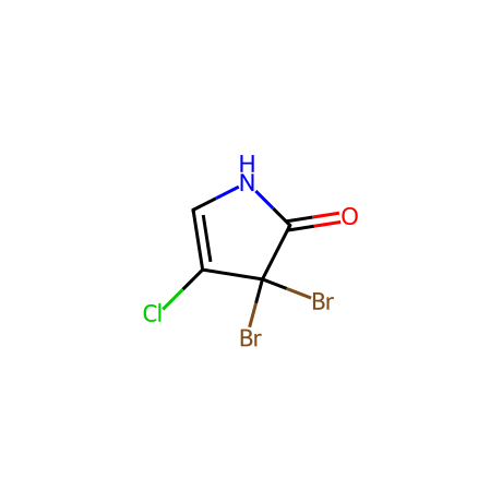 O=C1NC=C(Cl)C1(Br)Br